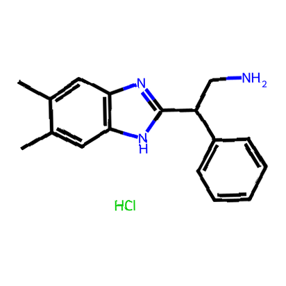 Cc1cc2nc(C(CN)c3ccccc3)[nH]c2cc1C.Cl